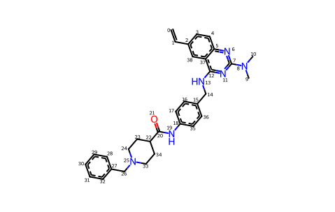 C=Cc1ccc2nc(N(C)C)nc(NCc3ccc(NC(=O)C4CCN(Cc5ccccc5)CC4)cc3)c2c1